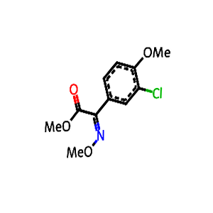 CON=C(C(=O)OC)c1ccc(OC)c(Cl)c1